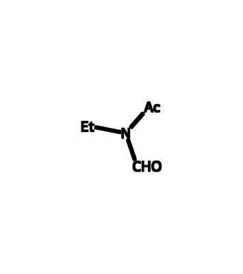 CCN(C=O)C(C)=O